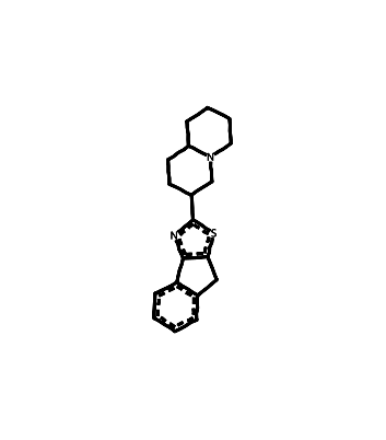 c1ccc2c(c1)Cc1sc(C3CCC4CCCCN4C3)nc1-2